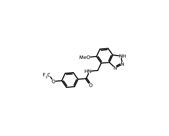 COc1ccc2[nH]nnc2c1CNC(=O)c1ccc(OC(F)(F)F)cc1